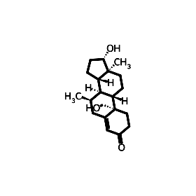 C[C@@H]1CC2=CC(=O)CC[C@]2(CO)[C@H]2CC[C@]3(C)[C@@H](O)CC[C@H]3[C@H]12